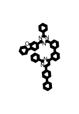 c1ccc(-c2ccc(-c3cc(-c4cccc(-c5cccc(-c6nc(-c7ccccc7)nc(-c7ccc8c(c7)oc7ccccc78)n6)c5)c4)nc(-c4ccccc4)n3)cc2)cc1